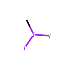 CI(I)I